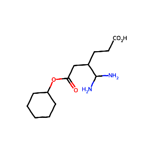 NC(N)C(CCC(=O)O)CC(=O)OC1CCCCC1